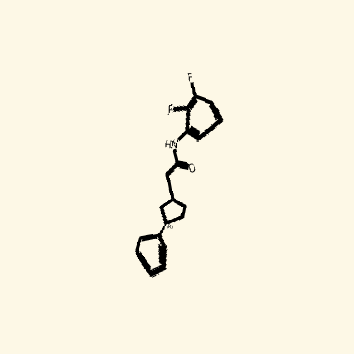 O=C(CC1CC[C@@H](c2ccccc2)C1)Nc1cccc(F)c1F